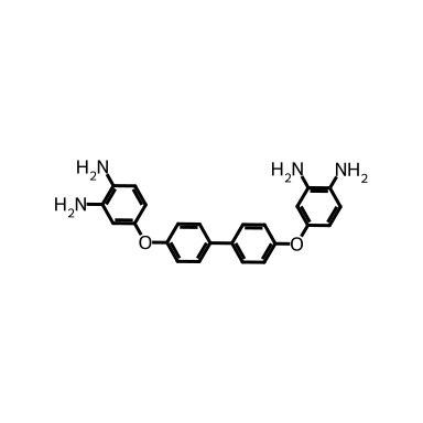 Nc1ccc(Oc2ccc(-c3ccc(Oc4ccc(N)c(N)c4)cc3)cc2)cc1N